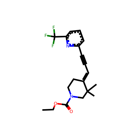 CCOC(=O)N1CC/C(=C\C#Cc2cccc(C(F)(F)F)n2)C(C)(C)C1